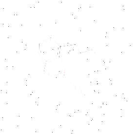 Cc1cccc(CCBr)c1OCC#N